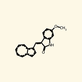 COc1ccc2c(c1)NC(=O)C2=Cc1ccc2cccccc1-2